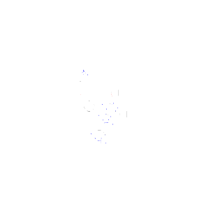 COc1nc(C)c2nc(-c3cncnc3)n(Cc3ccc(O[SiH2]C4CN5CCC4CC5)cc3F)c2n1